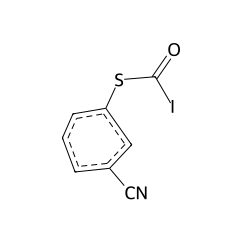 N#Cc1cccc(SC(=O)I)c1